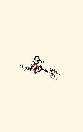 CC(C)(C)OC(=O)N1[C@@H]2C=C[C@H]1C[C@](C#N)(c1cncc(C#C[Si](C)(C)C)c1)C2